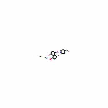 O=C1c2ccc3c4c(ccc(c24)C(=O)N1CCSCCO)C(=O)N(c1ccc(CCO)c(F)c1)C3=O